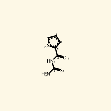 NC(=S)NC(=O)c1cccs1